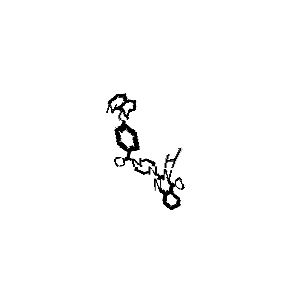 O=C(c1ccc(N2CCc3cccnc32)cc1)N1CCN(c2nc3ccccc3c(=O)[nH]2)CC1